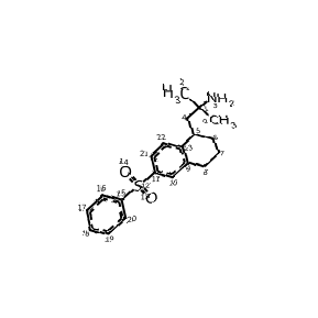 CC(C)(N)CC1CCCc2cc(S(=O)(=O)c3ccccc3)ccc21